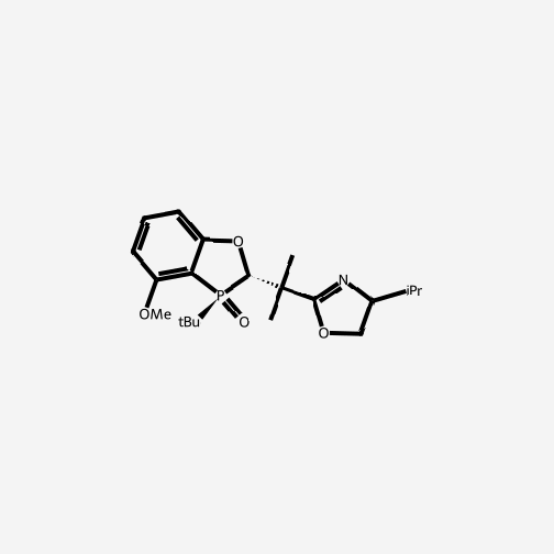 COc1cccc2c1[P@](=O)(C(C)(C)C)[C@@H](C(C)(C)C1=NC(C(C)C)CO1)O2